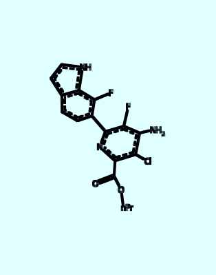 CCCOC(=O)c1nc(-c2ccc3cc[nH]c3c2F)c(F)c(N)c1Cl